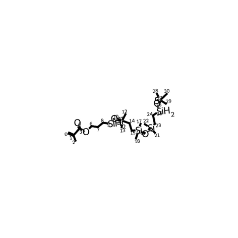 C=C(C)C(=O)OCCC[SiH2]O[Si](C)(C)CC[Si](C)(C)O[Si](C)(C)CC[SiH2]O[Si](C)(C)C